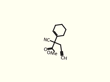 C#CCC(C#N)(C(=O)OC)C1=CCCCC1